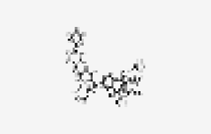 CC1CC2CC(C1)C(NC(=O)c1cnc(N3CC4(CCOCC4)c4cc(OC5CCN(c6ncccn6)CC5)ccc43)nc1C(F)(F)CO)(C(=O)O)C2